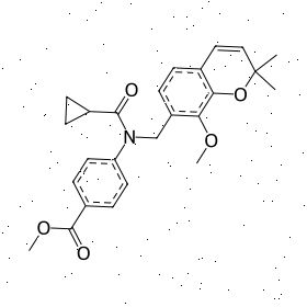 COC(=O)c1ccc(N(Cc2ccc3c(c2OC)OC(C)(C)C=C3)C(=O)C2CC2)cc1